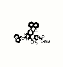 CN(c1nc(OCC23CCCN2CCC3)nc2c1CCN(c1cccc3cccc(Cl)c13)C2)[C@@H]1CCN(C(=O)OC(C)(C)C)C1